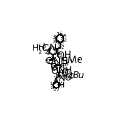 C=CCC(C(=O)NC(=O)[C@H](CSC)NC(=O)[C@H](Cc1ccccc1)NC(=O)OC(C)(C)C)C(O)C(N)CC1CCCCC1